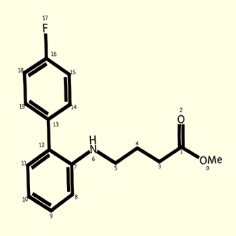 COC(=O)CCCNc1ccccc1-c1ccc(F)cc1